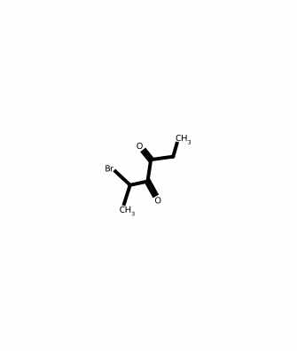 CCC(=O)C(=O)C(C)Br